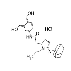 CCCN1C(=NC23CC4CC(CC(C4)C2)C3)SCC1CC(=O)Nc1ccc(=CO)c(=CO)c1.Cl